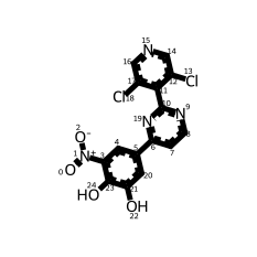 O=[N+]([O-])c1cc(-c2ccnc(-c3c(Cl)cncc3Cl)n2)cc(O)c1O